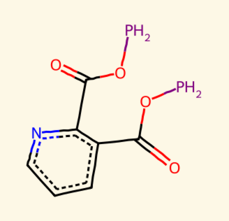 O=C(OP)c1cccnc1C(=O)OP